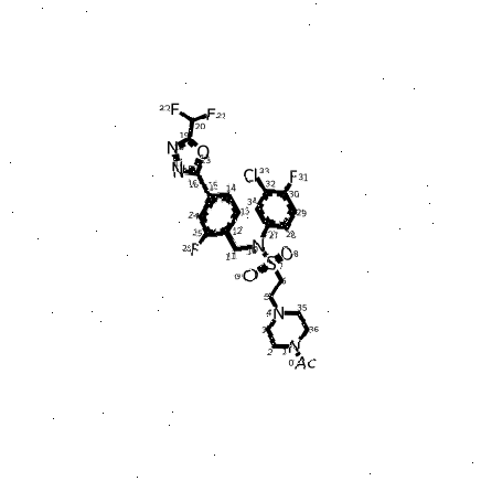 CC(=O)N1CCN(CCS(=O)(=O)N(Cc2ccc(-c3nnc(C(F)F)o3)cc2F)c2ccc(F)c(Cl)c2)CC1